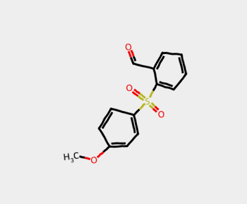 COc1ccc(S(=O)(=O)c2ccccc2C=O)cc1